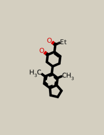 CCC(=O)C1=CCC(c2c(C)cc3c(c2C)CCC3)CC1=O